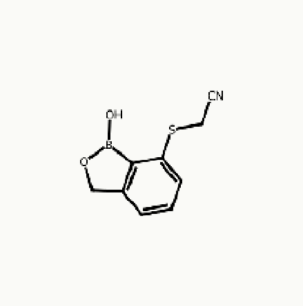 N#CCSc1cccc2c1B(O)OC2